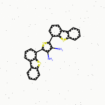 Nc1c(-c2cccc3c2sc2ccccc23)sc(-c2cccc3c2sc2ccccc23)c1N